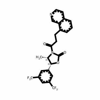 C[C@H]1[C@@H](c2cc(C(F)(F)F)cc(C(F)(F)F)c2)OC(=O)N1C(=O)CCc1cccc2ccncc12